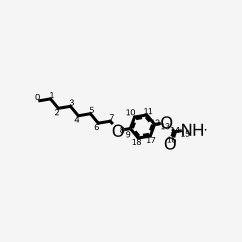 CCCCCCCCOc1ccc(OC([NH])=O)cc1